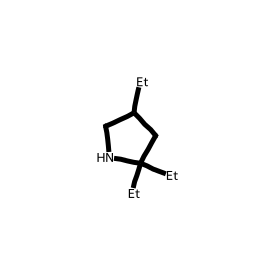 CCC1CNC(CC)(CC)C1